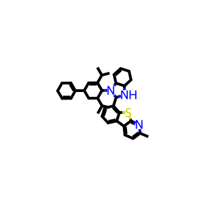 Cc1ccc2c(n1)sc1c(C3NC4CCC=CC4N3C3C(C(C)C)=CC(C4=CCCC=C4)CC3C(C)C)cccc12